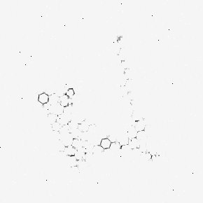 CC[C@H](C)[C@@H]([C@@H](CC(=O)N1CCC[C@H]1C(OC)[C@@H](C)C(=O)N[C@@H](Cc1ccccc1)c1ncc[nH]1)OC)N(C)C(=O)[C@@H](NC(=O)[C@H](C(C)C)N(C)C(=O)OCc1ccc(NC(=O)[C@H](CCCNC(N)=O)NC(=O)[C@@H](NC(=O)CCOCCOCCOCCOCCON)C(C)C)cc1)C(C)C